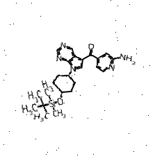 CC(C)(C)[Si](C)(C)O[C@H]1CC[C@@H](n2cc(C(=O)c3ccnc(N)c3)c3cncnc32)CC1